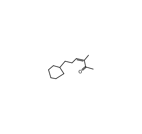 CC(=O)C(C)=CCCC1CCCCC1